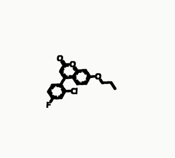 CCCOc1ccc2c(-c3ccc(F)cc3Cl)cc(=O)oc2c1